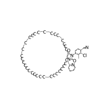 Cc1c(N2C(=O)N(Cc3ccccn3)C3(CCCCCCCCCCCCCCCCCCCCCCCCCCCCCCCCCCCCCCCCC3)C2=O)ccc(C#N)c1Cl